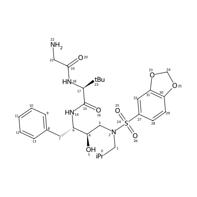 CC(C)CN(C[C@@H](O)[C@H](Cc1ccccc1)NC(=O)[C@@H](NC(=O)CN)C(C)(C)C)S(=O)(=O)c1ccc2c(c1)OCO2